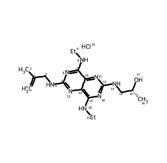 C=C(C)CNc1nc(NCC)c2nc(NC[C@@H](C)O)nc(NCC)c2n1.Cl